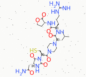 CC(C)C[C@@H](C(=O)N[C@H](CCCNC(=N)N)C(=O)NC1CCOC1=O)N1CCN(C(=O)[C@H](CS)N2C(=O)N[C@H](CC(N)=O)C2=O)CC1